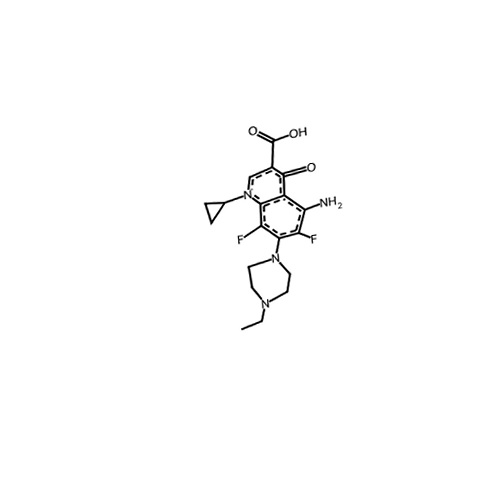 CCN1CCN(c2c(F)c(N)c3c(=O)c(C(=O)O)cn(C4CC4)c3c2F)CC1